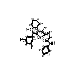 C[C@@H](C(=O)N(C)CC(=O)Nc1ccccc1)N(C(=O)C(O)c1cc(F)cc(F)c1)C1CCCCC1